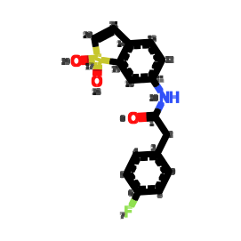 O=C(Cc1ccc(F)cc1)Nc1ccc2c(c1)S(=O)(=O)C=C2